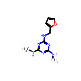 CNc1nc(NC)nc(NCc2ccco2)n1